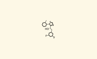 Cc1ccccc1-c1scnc1[C@@H](O)Cc1cc(F)cc(F)c1